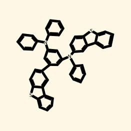 c1ccc(N(c2ccccc2)c2cc(-c3ccc4sc5ccccc5c4c3)cc(N(c3ccccc3)c3ccc4sc5ccccc5c4c3)c2)cc1